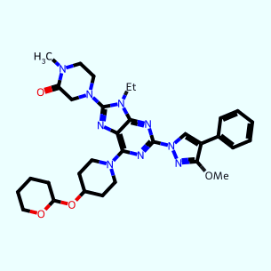 CCn1c(N2CCN(C)C(=O)C2)nc2c(N3CCC(OC4CCCCO4)CC3)nc(-n3cc(-c4ccccc4)c(OC)n3)nc21